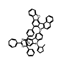 CC1CCC=C1n1c2ccccc2c2cc(-n3c4ccc5ccccc5c4c4c5oc6ccccc6c5cc(-c5ccc(-c6nc(C7=CC=CCC=C7)nc(-c7ccccc7)n6)cc5)c43)ccc21